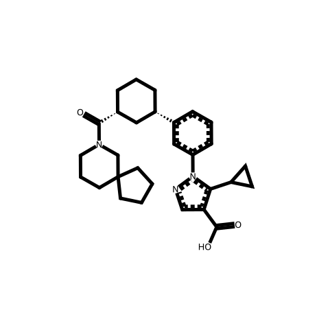 O=C(O)c1cnn(-c2cccc([C@H]3CCC[C@@H](C(=O)N4CCCC5(CCCC5)C4)C3)c2)c1C1CC1